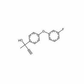 C#CC(C)(O)c1ccc(Oc2cccc(F)c2)cc1